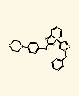 C1=C[N+]2(c3cnn(Cc4ccccc4)c3)N=C(Nc3ccc(N4CCOCC4)cc3)N=C2C=N1